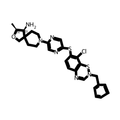 C[C@@H]1OCC2(CCN(c3cnc(Sc4ccc5c(c4Cl)SN(Cc4ccccc4)C=N5)cn3)CC2)[C@@H]1N